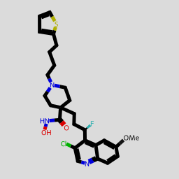 COc1ccc2ncc(Cl)c([C@H](F)CCC3(C(=O)NO)CCN(CCCCc4cccs4)CC3)c2c1